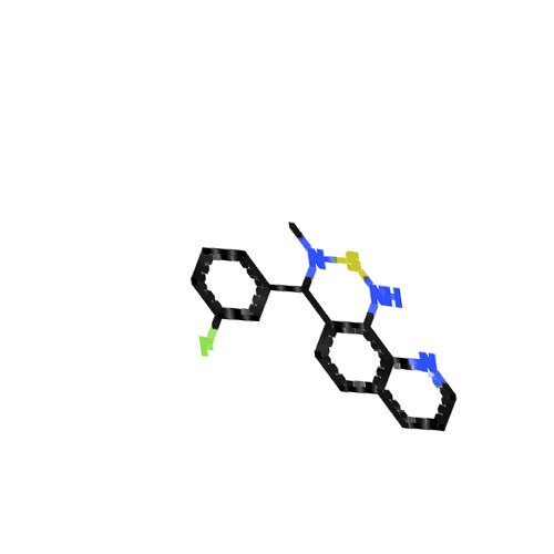 CN1SNc2c(ccc3cccnc23)C1c1cccc(F)c1